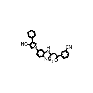 N#Cc1cccc(C(=O)CC(=O)Nc2cc(-n3cc(C#N)c(-c4ccccc4)c3)ccc2[N+](=O)[O-])c1